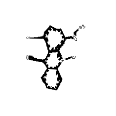 CCCOc1ccc(Cl)c2c(=O)c3ccccc3[s+]([O-])c12